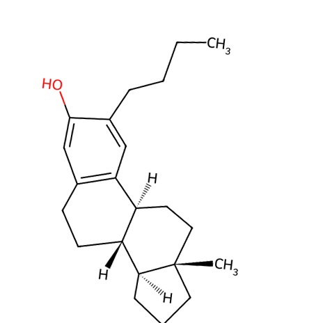 CCCCc1cc2c(cc1O)CC[C@@H]1[C@@H]2CC[C@]2(C)CCC[C@@H]12